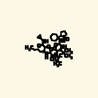 CCCC[C@H](NC(=O)[C@H](C)N(CCC)C(=O)[C@@H](NC(=O)NC1(C2CCCS2(=O)=O)CCCCC1)C(C)(C)C)C(=O)C(=O)NC1CC1